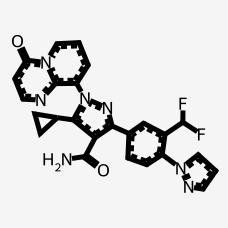 NC(=O)c1c(-c2ccc(-n3cccn3)c(C(F)F)c2)nn(-c2cccn3c(=O)ccnc23)c1C1CC1